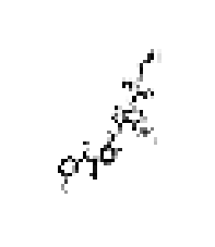 Cc1ccc(NC(=O)c2cccc(Cl)c2)cc1OCc1csc2c(OC(=O)NCCO)cnc(N)c12